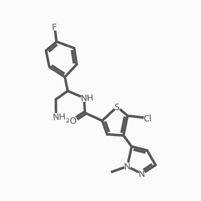 Cn1nccc1-c1cc(C(=O)NC(CN)c2ccc(F)cc2)sc1Cl